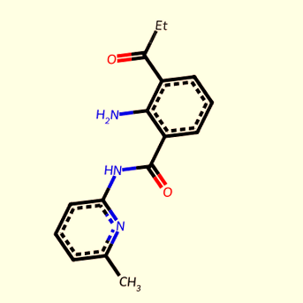 CCC(=O)c1cccc(C(=O)Nc2cccc(C)n2)c1N